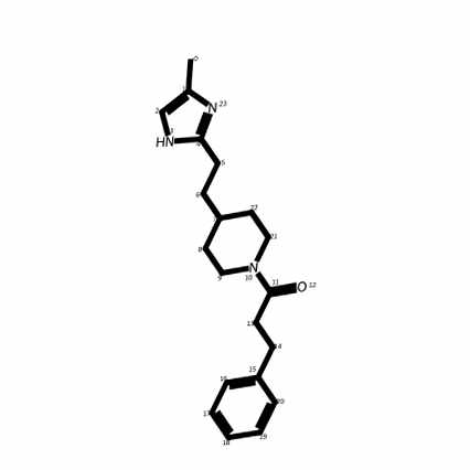 Cc1c[nH]c(CCC2CCN(C(=O)CCc3ccccc3)CC2)n1